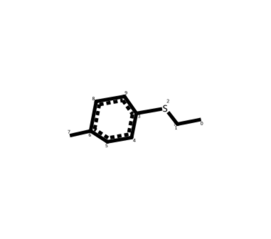 C[C]Sc1ccc(C)cc1